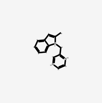 Cc1cc2ccccc2n1Cc1cnccn1